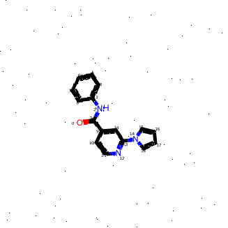 O=C(Nc1ccccc1)c1ccnc(-n2cccc2)c1